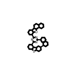 c1ccc(-c2ccc3sc4cccc(-c5nc(-c6ccccc6)nc(-c6cccc7c6oc6c8ccccc8ccc76)n5)c4c3c2)cc1